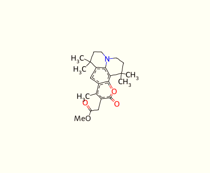 COC(=O)Cc1c(C)c2cc3c4c(c2oc1=O)C(C)(C)CCN4CCC3(C)C